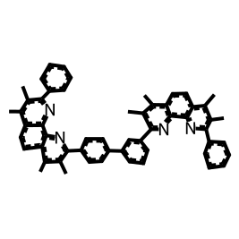 Cc1c(-c2ccccc2)nc2c(ccc3c(C)c(C)c(-c4ccc(-c5cccc(-c6nc7c(ccc8c(C)c(C)c(-c9ccccc9)nc87)c(C)c6C)c5)cc4)nc32)c1C